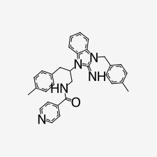 Cc1ccc(CC(CNC(=O)c2ccncc2)n2c(=N)n(Cc3ccc(C)cc3)c3ccccc32)cc1